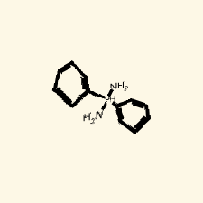 N[PH](N)(c1ccccc1)c1ccccc1